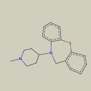 CN1CCC(N2Cc3ccccc3Sc3ccccc32)CC1